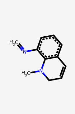 C=Nc1cccc2c1N(C)CC=C2